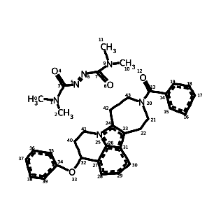 CN(C)C(=O)N=NC(=O)N(C)C.O=C(c1ccccc1)N1CCc2c(n3c4c(cccc24)C(Oc2ccccc2)CC3)CC1